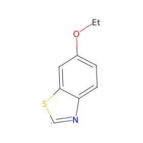 CCOc1ccc2n[c]sc2c1